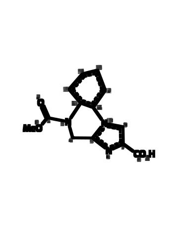 COC(=O)N1Cc2nc(C(=O)O)cn2-c2ccccc21